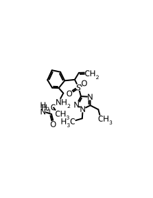 C=CC(c1ccccc1CN)S(=O)(=O)c1nc(CC)n(CC)n1.CC.NC=O